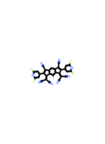 N#CC(C#N)=C1C(c2cc(F)nc(F)c2)=C(C#N)c2cc3c(c(F)c21)C(=C(C#N)C#N)C(c1cc(F)nc(F)c1)=C3C#N